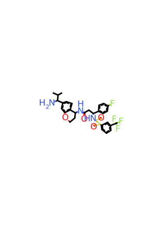 CC(C)C(N)c1ccc2c(c1)OCCC2NC(=O)CC(NS(=O)(=O)c1cccc(C(F)(F)F)c1)c1ccc(F)cc1